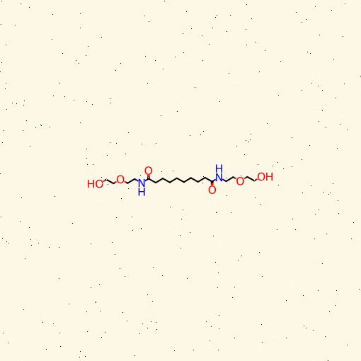 O=C(CCCCCCCCC(=O)NCCOCCO)NCCOCCO